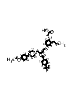 CCCc1cc(SCc2sc(-c3ccc(C(F)(F)F)cc3)nc2CN2CCN(c3ccc(OCC)cc3)CC2)ccc1OCC(=O)O